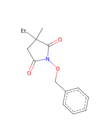 CCC1(C)CC(=O)N(OCc2ccccc2)C1=O